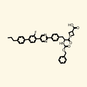 CCCc1ccc(-c2ccc(-c3cnc(-c4ccc(CC(NC(=O)OCc5ccccc5)C(=O)N5CC(C(=O)O)C5)cc4)nc3)c(F)c2)cc1